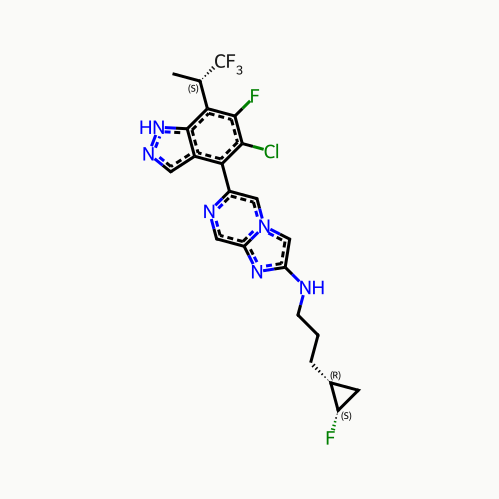 C[C@@H](c1c(F)c(Cl)c(-c2cn3cc(NCCC[C@@H]4C[C@@H]4F)nc3cn2)c2cn[nH]c12)C(F)(F)F